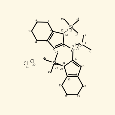 C[SiH](C)[Zr+2]([C]1=CC2=C(CCCC2)[C@@H]1[Si](C)(C)C)[C]1=CC2=C(CCCC2)[C@H]1[Si](C)(C)C.[Cl-].[Cl-]